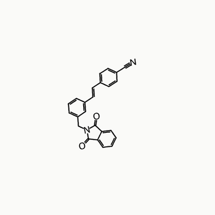 N#Cc1ccc(C=Cc2cccc(CN3C(=O)c4ccccc4C3=O)c2)cc1